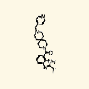 C[CH]c1nc2cccc(C(=O)N3CCC4(CCN(Cc5ccncc5)CC4)CC3)c2[nH]1